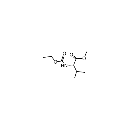 CCOC(=O)N[C@H](C(=O)OC)C(C)C